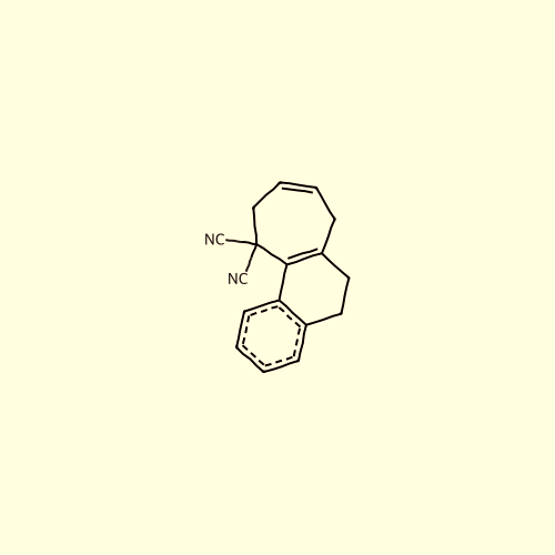 N#CC1(C#N)CC=CCC2=C1c1ccccc1CC2